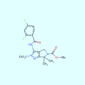 CCOC(=O)n1nc2c(c1NC(=O)c1ccc(F)cc1F)CN(C(=O)OC(C)(C)C)C2(C)C